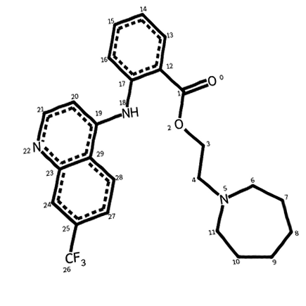 O=C(OCCN1CCCCCC1)c1ccccc1Nc1ccnc2cc(C(F)(F)F)ccc12